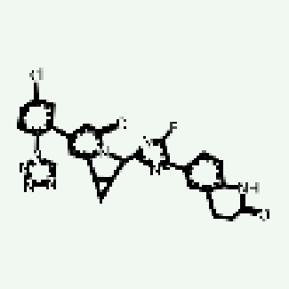 O=C1CCc2cc(-c3[nH]c(C4C5CC5c5cc(-c6cc(Cl)ccc6-n6cnnn6)cc(=O)n54)nc3F)ccc2N1